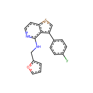 Fc1ccc(-c2csc3ccnc(NCc4ccco4)c23)cc1